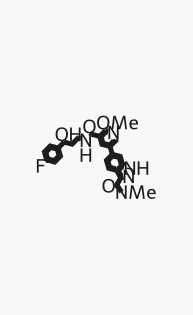 CNC(=O)c1n[nH]c2cc(-c3cnc(OC)c(C(=O)NCCC(O)c4ccc(F)cc4)c3)ccc12